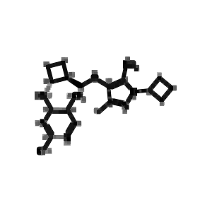 Cc1nn(C2CCC2)c([N+](=O)[O-])c1OC[C@@H]1CC[C@H]1Nc1nc(Cl)ncc1C(F)(F)F